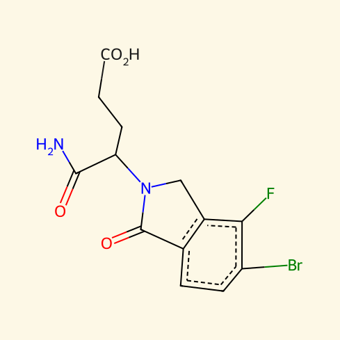 NC(=O)C(CCC(=O)O)N1Cc2c(ccc(Br)c2F)C1=O